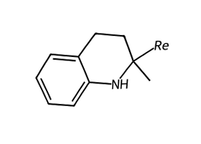 C[C]1([Re])CCc2ccccc2N1